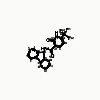 O=C(NC1c2ccccc2-c2ccccc21)c1ccc(C(F)(F)F)[nH]c1=O